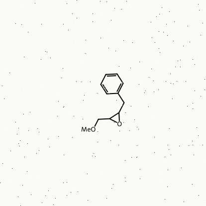 COCC1OC1Cc1ccccc1